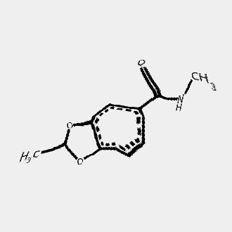 CNC(=O)c1ccc2c(c1)OC(C)O2